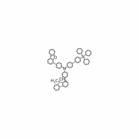 CC1(C)c2ccccc2-c2cccc(-c3ccc(N(c4ccc(-c5ccc([Si](c6ccccc6)(c6ccccc6)c6ccccc6)cc5)cc4)c4ccc(-c5cccc6c5oc5ccccc56)cc4)cc3)c21